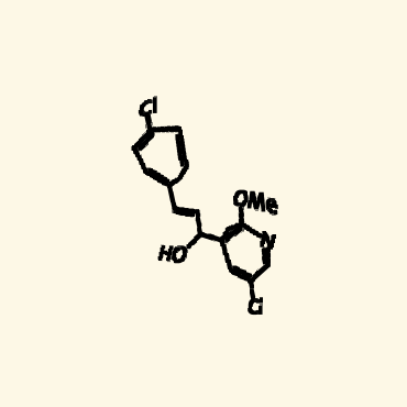 COc1ncc(Cl)cc1C(O)/C=C/c1ccc(Cl)cc1